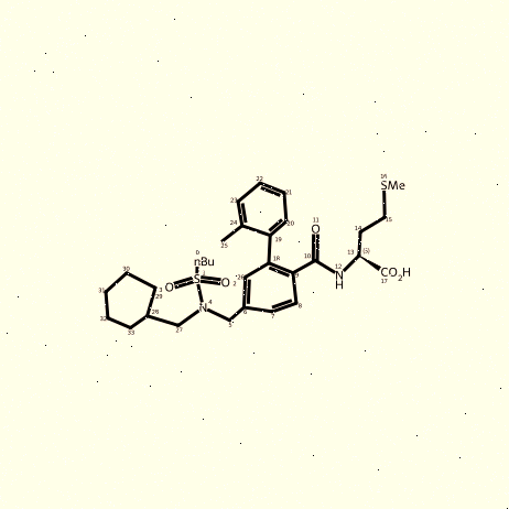 CCCCS(=O)(=O)N(Cc1ccc(C(=O)N[C@@H](CCSC)C(=O)O)c(-c2ccccc2C)c1)CC1CCCCC1